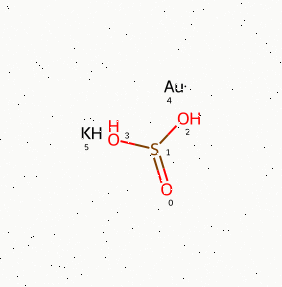 O=S(O)O.[Au].[KH]